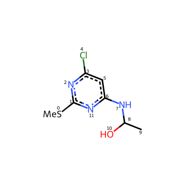 CSc1nc(Cl)cc(NC(C)O)n1